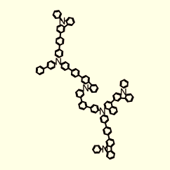 c1ccc(-c2ccc(N(c3ccc(-c4ccc(-c5ccc6c(c5)c5ccccc5n6-c5ccccc5)cc4)cc3)c3ccc(-c4ccc(-c5ccc6c7ccccc7n(-c7cccc(-c8cccc(-c9ccc(N(c%10ccc(-c%11ccc(-c%12ccc%13c%14ccccc%14n(-c%14ccccc%14)c%13c%12)cc%11)cc%10)c%10ccc(-c%11ccc%12c(c%11)c%11ccccc%11n%12-c%11ccccc%11)c%11ccccc%10%11)cc9)c8)c7)c6c5)cc4)cc3)cc2)cc1